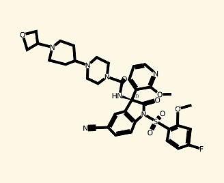 COc1cc(F)ccc1S(=O)(=O)N1C(=O)[C@@](NC(=O)N2CCN(C3CCN(C4COC4)CC3)CC2)(c2cccnc2OC)c2cc(C#N)ccc21